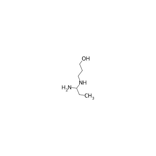 CCC(N)NCCCO